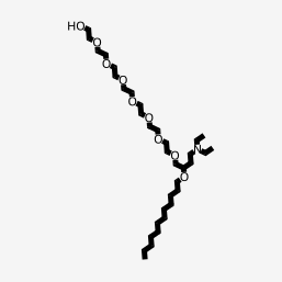 CCCCCCCCCCCCOC(CCN(CC)CC)COCCOCCOCCOCCOCCOCCOCCO